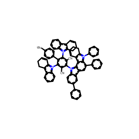 CC(C)(C)c1ccc(-c2c(-n3c4c(c5ccccc53)CCC=C4)c(C#N)c(-n3c4ccc(-c5ccccc5)cc4c4cc(-c5ccccc5)c5c(c6c(n5-c5ccccc5)CCC=C6)c43)c(C#N)c2-n2c3c(c4ccccc42)C=CCC3)cc1